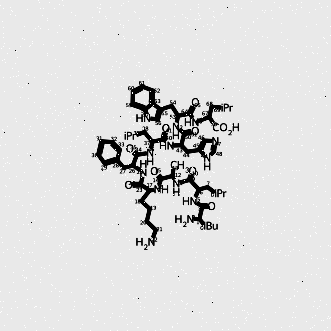 CCC(C)C(N)C(=O)NC(CC(C)C)C(=O)NC(C)C(=O)NC(CCCCN)C(=O)NC(Cc1ccccc1)C(=O)NC(CC(C)C)C(=O)NC(Cc1cnc[nH]1)C(=O)NC(Cc1c[nH]c2ccccc12)C(=O)NC(CC(C)C)C(=O)O